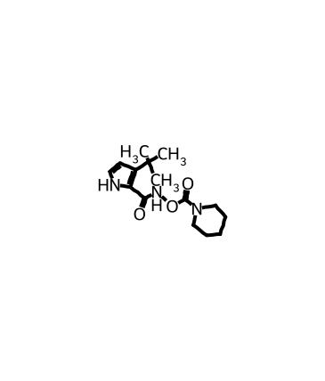 CC(C)(C)c1cc[nH]c1C(=O)NOC(=O)N1CCCCC1